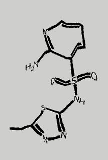 Cc1nnc(NS(=O)(=O)c2cccnc2N)s1